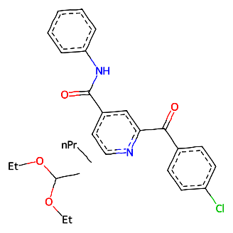 CCCC.CCOC(C)OCC.O=C(Nc1ccccc1)c1ccnc(C(=O)c2ccc(Cl)cc2)c1